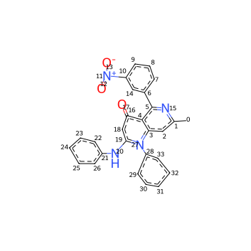 Cc1cc2c(c(-c3cccc([N+](=O)[O-])c3)n1)c(=O)cc(Nc1ccccc1)n2-c1ccccc1